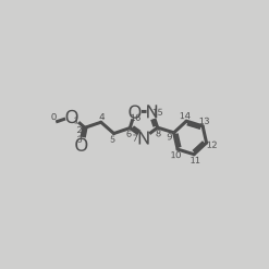 COC(=O)CCc1nc(-c2ccccc2)no1